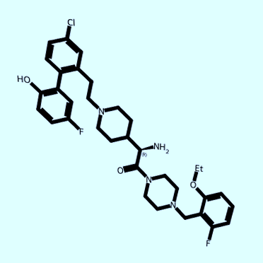 CCOc1cccc(F)c1CN1CCN(C(=O)[C@H](N)C2CCN(CCc3cc(Cl)ccc3-c3cc(F)ccc3O)CC2)CC1